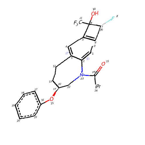 C/C=C1\C(=C/C2=C[C@@H](F)C2(O)C(F)(F)F)CC[C@H](Oc2ccccc2)CN1C(=O)C(C)C